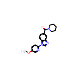 COc1ccc(-n2cnc3cc(C(=O)N4CCCCC4)ccc32)nc1